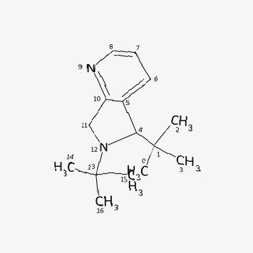 CC(C)(C)C1c2cccnc2CN1C(C)(C)C